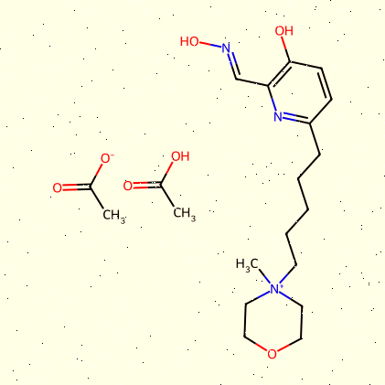 CC(=O)O.CC(=O)[O-].C[N+]1(CCCCCc2ccc(O)c(C=NO)n2)CCOCC1